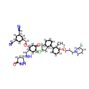 Cc1c(OCCCN2CCC[C@@H](F)C2)cccc1-c1cccc2c1CC[C@@H]2Oc1cc(OCc2cc(C#N)cc(C#N)c2)c(CN[C@H]2CCC(=O)NC2)cc1Cl